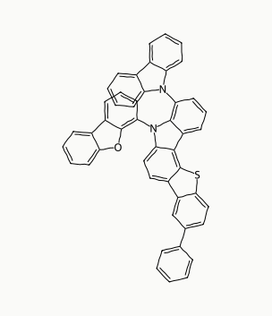 c1ccc(-c2ccc3sc4c(ccc5c4c4cccc(-n6c7ccccc7c7ccccc76)c4n5-c4cccc5c4oc4ccccc45)c3c2)cc1